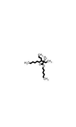 CCCCCCOC(=O)C([SiH3])(CC)C(CCC)CCCCCC